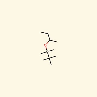 [CH2]CC(C)O[Si](C)(C)C(C)(C)C